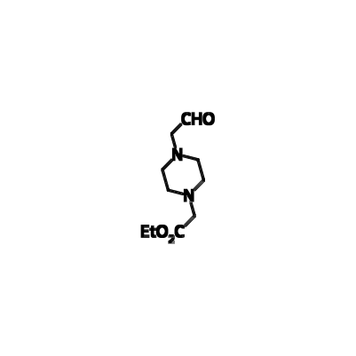 CCOC(=O)CN1CCN(CC=O)CC1